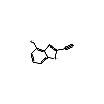 N#Cc1cc2c(O)cccc2[nH]1